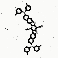 Cc1cccc(N(c2cccc(C)c2)c2ccc3cc4c(cc3c2)oc2c(C#N)c3oc5cc6cc(N(c7cccc(C)c7)c7cccc(C)c7)ccc6cc5c3c(C#N)c24)c1